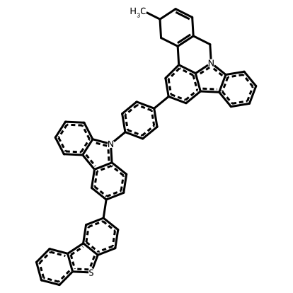 CC1C=CC2=C(C1)c1cc(-c3ccc(-n4c5ccccc5c5cc(-c6ccc7sc8ccccc8c7c6)ccc54)cc3)cc3c4ccccc4n(c13)C2